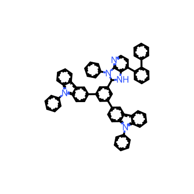 c1ccc(-c2ccccc2-c2ccnc3c2NC(c2cc(-c4ccc5c(c4)c4ccccc4n5-c4ccccc4)cc(-c4ccc5c(c4)c4ccccc4n5-c4ccccc4)c2)N3c2ccccc2)cc1